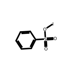 O=S(=O)(OI)c1ccccc1